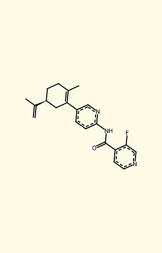 C=C(C)[C@H]1CCC(C)=C(c2ccc(NC(=O)c3ccncc3F)nc2)C1